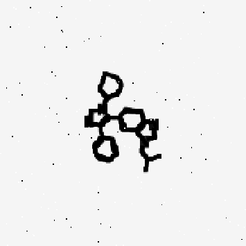 CC(C)Cn1cnc2ccc(-c3c(-c4ccccc4)ncn3C3CCCCC3)cc21